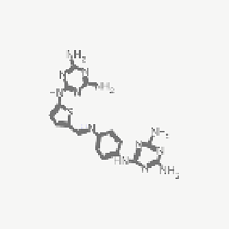 Nc1nc(N)nc(Nc2ccc(/N=C/c3ccc(Nc4nc(N)nc(N)n4)s3)cc2)n1